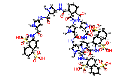 Cn1cc(NC(=O)c2cccc(C(=O)Nc3cc(C(=O)Nc4cc(C(=O)Nc5ccc6c(S(=O)(=O)O)cccc6c5S(=O)(=O)O)n(C)c4)n(C)c3)c2C(=O)Nc2cc(C(=O)Nc3cc(C(=O)Nc4ccc5c(S(=O)(=O)O)cccc5c4S(=O)(=O)O)n(C)c3)n(C)c2)cc1C(=O)Nc1cc(C(=O)Nc2ccc3c(S(=O)(=O)O)cccc3c2S(=O)(=O)O)n(C)c1